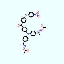 CC(=O)ON=C(C)c1ccc(N(c2ccc(C(=O)c3ccc(Sc4ccc([N+](=O)[O-])cc4)cc3)cc2)c2ccc(/C(C)=N/OC(C)=O)cc2)cc1